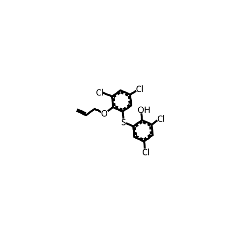 C=CCOc1c(Cl)cc(Cl)cc1Sc1cc(Cl)cc(Cl)c1O